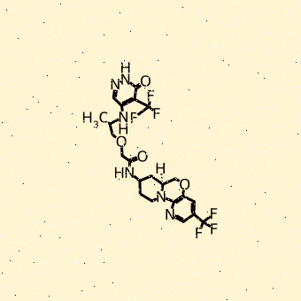 C[C@@H](COCC(=O)NC1CCN2c3ncc(C(F)(F)F)cc3OC[C@@H]2C1)Nc1cn[nH]c(=O)c1C(F)(F)F